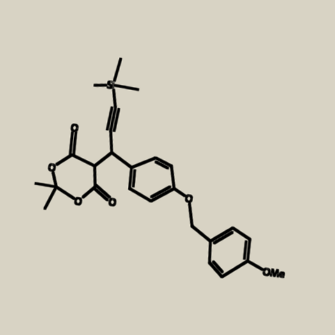 COc1ccc(COc2ccc(C(C#C[Si](C)(C)C)C3C(=O)OC(C)(C)OC3=O)cc2)cc1